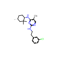 C[C@@H]1CC[C@@H](Nc2nc(NCCc3cccc(Cl)c3)ncc2C#N)C(C)(C)C1